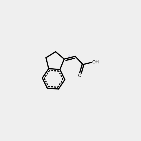 O=C(O)/C=C1/CCc2ccccc21